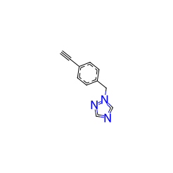 C#Cc1ccc(Cn2cncn2)cc1